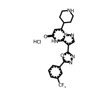 Cl.O=c1cc(C2CCNCC2)n2ncc(-c3nnc(-c4cccc(C(F)(F)F)c4)o3)c2[nH]1